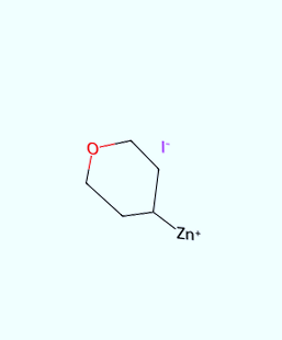 [I-].[Zn+][CH]1CCOCC1